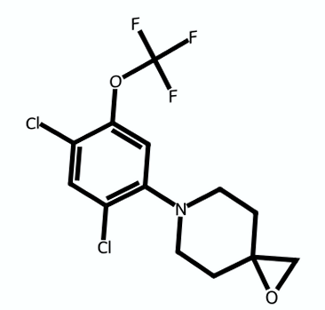 FC(F)(F)Oc1cc(N2CCC3(CC2)CO3)c(Cl)cc1Cl